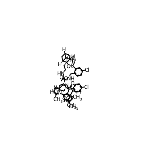 Cc1cc(C(C(=O)N2C[C@H](O)C[C@H]2C(=O)NCc2ccc(Cl)cc2B2O[C@H]3C[C@H]4C[C@H](C4(C)C)[C@@]3(CCNC(=O)C[C@@H]3N=C(c4ccc(Cl)cc4)c4c(sc(C)c4C)-n4c(C)nnc43)O2)C(C)C)on1